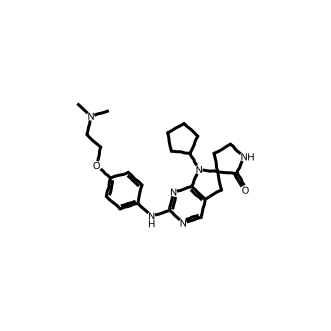 CN(C)CCOc1ccc(Nc2ncc3c(n2)N(C2CCCC2)C2(CCNC2=O)C3)cc1